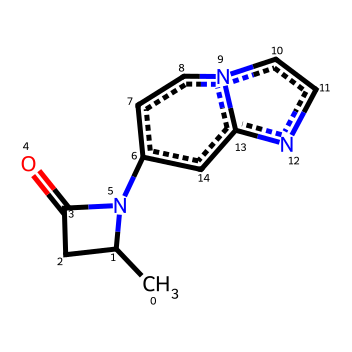 CC1CC(=O)N1c1ccn2ccnc2c1